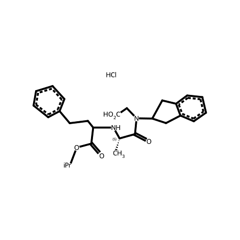 CC(C)OC(=O)C(CCc1ccccc1)N[C@@H](C)C(=O)N(CC(=O)O)C1Cc2ccccc2C1.Cl